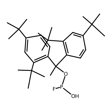 CC(C)(C)c1ccc(C(C)(OP(O)F)c2ccc(C(C)(C)C)cc2C(C)(C)C)c(C(C)(C)C)c1